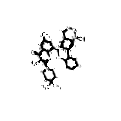 Cc1cc(C(C)Oc2ccccc2-c2ccc3c(c2)B(O)ON=C3)c2oc(N3CCC(C)(C)CC3)c(C)c(=O)c2c1